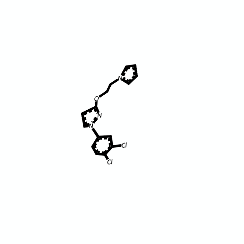 Clc1ccc(-n2ccc(OCCn3cccc3)n2)cc1Cl